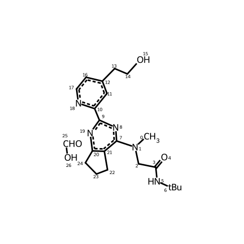 CN(CC(=O)NC(C)(C)C)c1nc(-c2cc(CCO)ccn2)nc2c1CCC2.O=CO